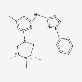 Cc1cc(Nc2ncn(-c3ccccc3)n2)cc(N2C[C@@H](C)N(C)[C@@H](C)C2)c1